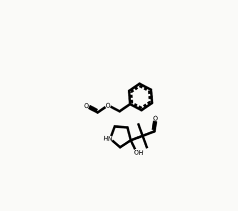 CC(C)(C=O)C1(O)CCNC1.O=COCc1ccccc1